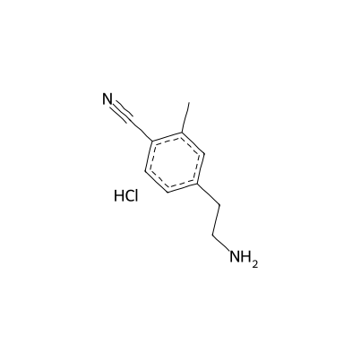 Cc1cc(CCN)ccc1C#N.Cl